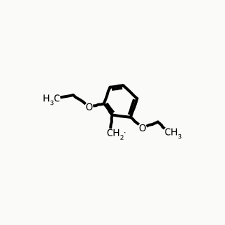 [CH2]c1c(OCC)cccc1OCC